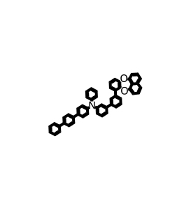 c1ccc(-c2ccc(-c3ccc(N(c4ccccc4)c4cccc(-c5cccc(-c6cccc7c6Oc6cccc8cccc(c68)O7)c5)c4)cc3)cc2)cc1